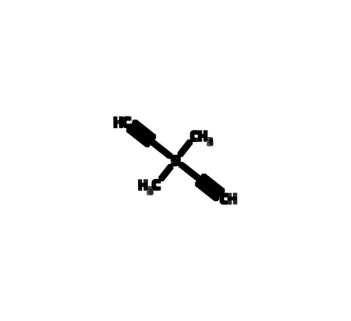 C#C[Si](C)(C)C#C